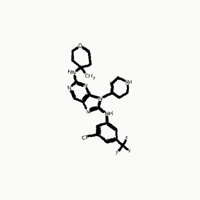 CC1(Nc2ncc3nc(Nc4cc(Cl)cc(C(F)(F)F)c4)n(C4CCNCC4)c3n2)CCOCC1